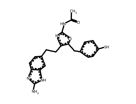 CC(=O)Nc1nc(CCc2ccc3nc(N)[nH]c3c2)c(Cc2ccc(S)cc2)s1